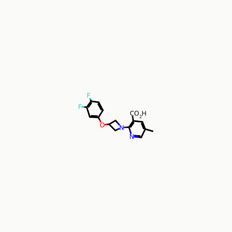 Cc1cnc(N2CC(Oc3ccc(F)c(F)c3)C2)c(C(=O)O)c1